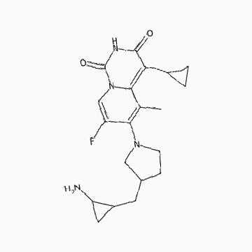 Cc1c(N2CCC(CC3CC3N)C2)c(F)cn2c(=O)[nH]c(=O)c(C3CC3)c12